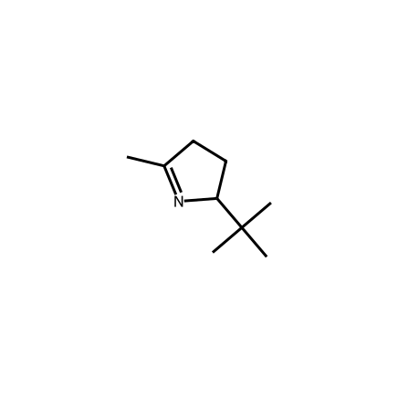 CC1=NC(C(C)(C)C)CC1